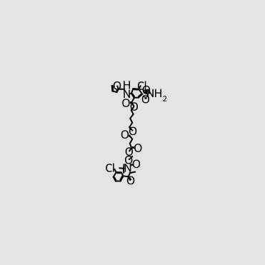 CC(C(=O)c1cccc(Cl)c1)N(C(=O)OCOC(=O)CCC(=O)OCCCCCOC(=O)c1cc(S(N)(=O)=O)c(Cl)cc1NCc1ccco1)C(C)(C)C